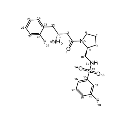 N[C@@H](CC(=O)N1CCC[C@H]1CNS(=O)(=O)c1cccc(F)c1)Cc1ccccc1F